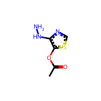 CC(=O)Oc1scnc1NN